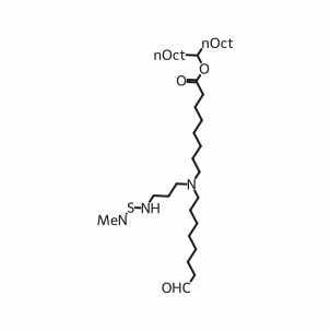 CCCCCCCCC(CCCCCCCC)OC(=O)CCCCCCCN(CCCCCCCC=O)CCCNSNC